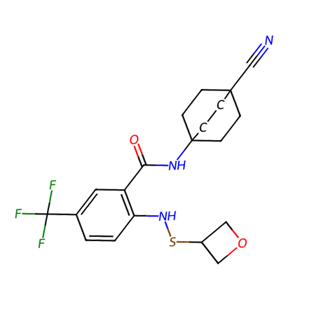 N#CC12CCC(NC(=O)c3cc(C(F)(F)F)ccc3NSC3COC3)(CC1)CC2